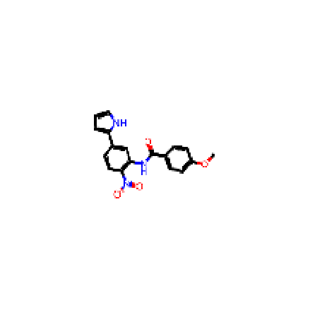 COc1ccc(C(=O)Nc2cc(-c3ccc[nH]3)ccc2[N+](=O)[O-])cc1